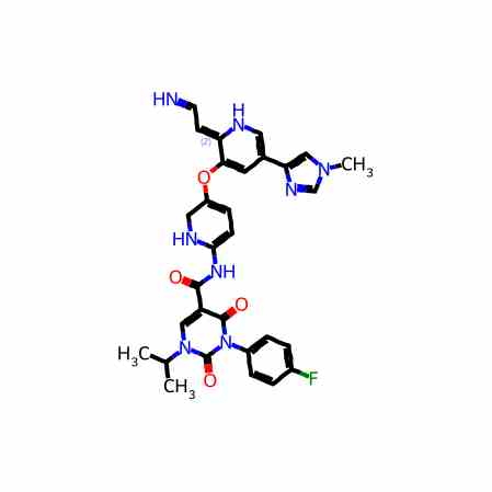 CC(C)n1cc(C(=O)NC2=CC=C(OC3=CC(c4cn(C)cn4)=CN/C3=C\C=N)CN2)c(=O)n(-c2ccc(F)cc2)c1=O